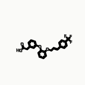 O=C(O)Cc1cccc(Oc2ccccc2OCC=Cc2ccc(C(F)(F)F)cc2)c1